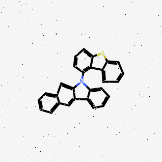 c1ccc2cc3c(cc2c1)c1ccccc1n3-c1cccc2sc3ccccc3c12